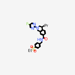 CCS(=O)(=O)c1ccc(CNC(=O)c2ccc3c(c2)CN(c2ncc(F)cn2)CC3C(C)C)cc1